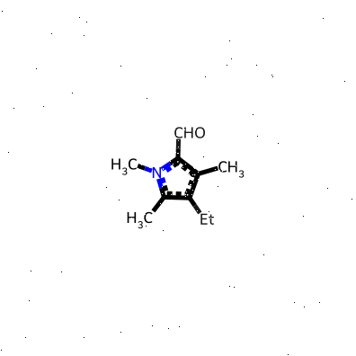 CCc1c(C)c(C=O)n(C)c1C